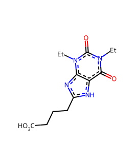 CCn1c(=O)c2[nH]c(CCCC(=O)O)nc2n(CC)c1=O